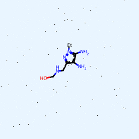 CCn1nc(CNCO)c(N)c1N